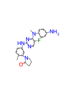 Cc1ccc(Nc2ncc(F)c(N(C)c3ccc(N)cc3)n2)cc1N1CCCC1=O